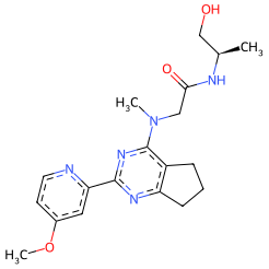 COc1ccnc(-c2nc3c(c(N(C)CC(=O)N[C@H](C)CO)n2)CCC3)c1